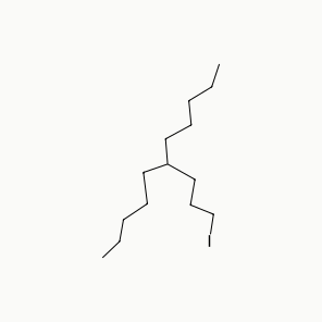 CCCCCC(CCCI)CCCCC